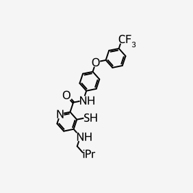 CC(C)CNc1ccnc(C(=O)Nc2ccc(Oc3cccc(C(F)(F)F)c3)cc2)c1S